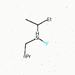 CCCC[SiH](F)C(C)CC